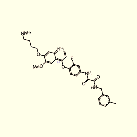 C=C/C(Oc1ccc(NC(=O)C(=O)NCc2cccc(C)c2)cc1F)=C1/C=C(OC)C(OCCCCNC)=CC1=N